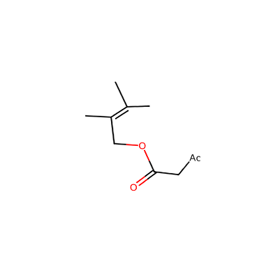 CC(=O)CC(=O)OCC(C)=C(C)C